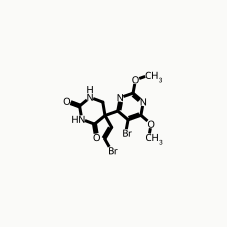 COc1nc(OC)c(Br)c(C2(C=CBr)CNC(=O)NC2=O)n1